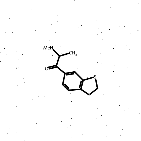 CNC(C)C(=O)c1ccc2c(c1)SCC2